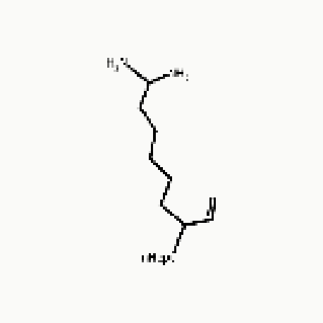 C=CC(CCCCCCC)CCCCCC(N)N